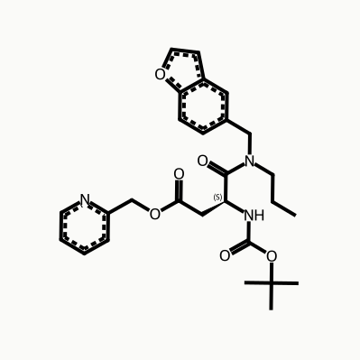 CCCN(Cc1ccc2occc2c1)C(=O)[C@H](CC(=O)OCc1ccccn1)NC(=O)OC(C)(C)C